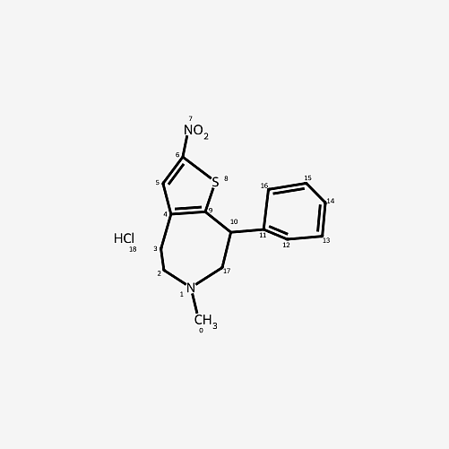 CN1CCc2cc([N+](=O)[O-])sc2C(c2ccccc2)C1.Cl